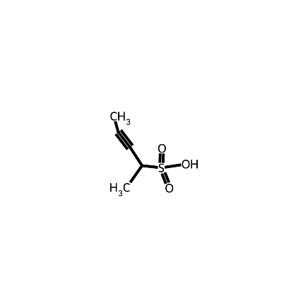 CC#CC(C)S(=O)(=O)O